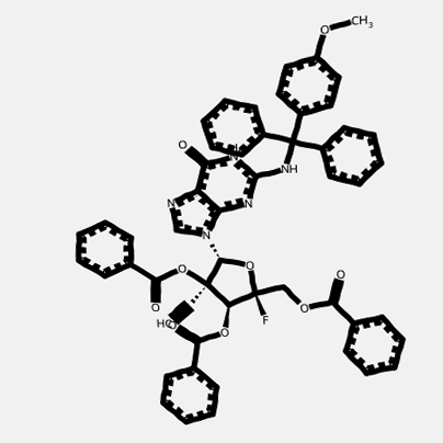 C#C[C@]1(OC(=O)c2ccccc2)[C@H](n2cnc3c(=O)[nH]c(NC(c4ccccc4)(c4ccccc4)c4ccc(OC)cc4)nc32)O[C@](F)(COC(=O)c2ccccc2)[C@H]1OC(=O)c1ccccc1